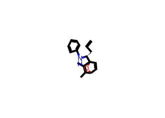 C=CC[C@@H](Nc1ccccc1)C12C=CC(O1)C(C)=C2C